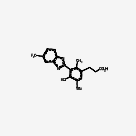 Cc1c(CCC(=O)O)cc(C(C)(C)C)c(O)c1-n1nc2ccc(C(F)(F)F)cc2n1